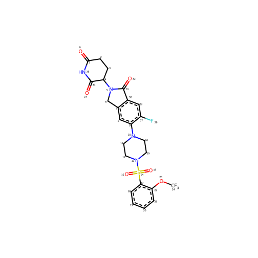 O=C1CCC(N2Cc3cc(N4CCN(S(=O)(=O)c5ccccc5OC(F)(F)F)CC4)c(F)cc3C2=O)C(=O)N1